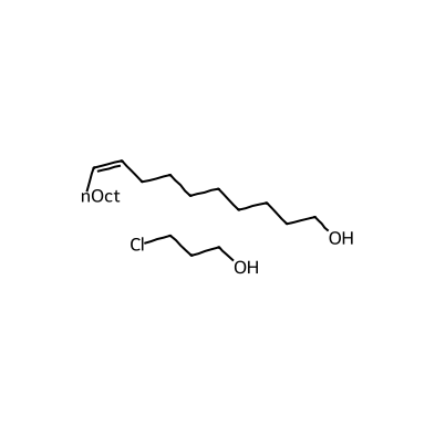 CCCCCCCC/C=C\CCCCCCCCO.OCCCCl